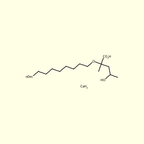 CCCCCCCCCCCCCCCCCCOC(C)(CC(C)O)C(=O)O.[CaH2]